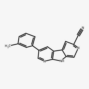 Cc1cccc(-c2cnc3[nH]c4cnc(C#N)cc4c3c2)c1